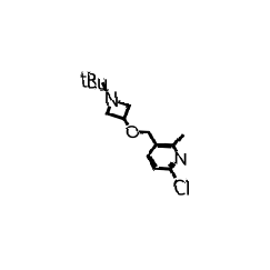 Cc1nc(Cl)ccc1COC1CN(C(C)(C)C)C1